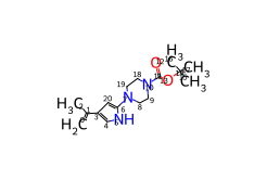 C=C(C)c1c[nH]c(N2CCN(C(=O)OC(C)(C)C)CC2)c1